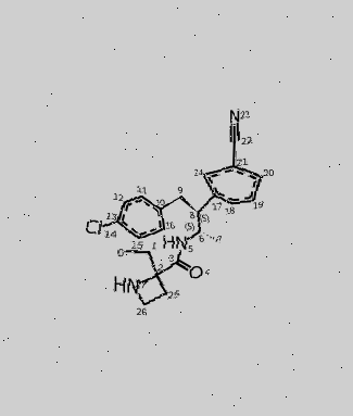 CCC1(C(=O)N[C@@H](C)[C@@H](Cc2ccc(Cl)cc2)c2cccc(C#N)c2)CCN1